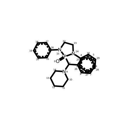 O=P1(C(c2ccccc2)N2CCCCC2)N(c2ccccc2)CCN1c1ccccc1